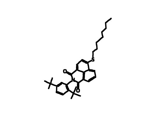 CCCCCCCCSc1ccc2c3c(cccc13)C(=O)N(c1cc(C(C)(C)C)ccc1C(C)(C)C)C2=O